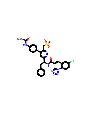 COC(=O)Nc1ccc(-c2cc(C(Cc3ccccc3)NC(=O)C=Cc3cc(Cl)ccc3-n3cnnn3)nnc2CS(C)(=O)=O)cc1